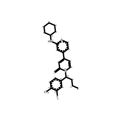 C=C1C=C(c2ccnc(NC3CCCCC3)c2)C=CN1C(CCC)c1ccc(Cl)c(F)c1